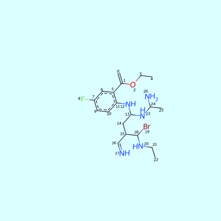 C=C(OCC)c1cc(F)ccc1NC(CC(C=N)C(Br)NCC)NC(C)N